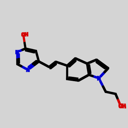 OCCn1ccc2cc(/C=C/c3cc(O)ncn3)ccc21